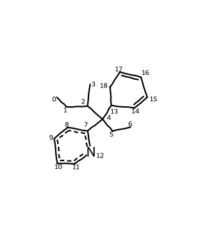 CCC(C)C(CC)(c1ccccn1)C1C=CC=CC1